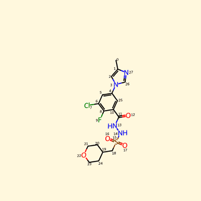 Cc1cn(-c2cc(Cl)c(F)c(C(=O)NNS(=O)(=O)CC3CCOCC3)c2)cn1